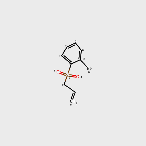 C=CCS(=O)(=O)c1ccccc1[CH]C